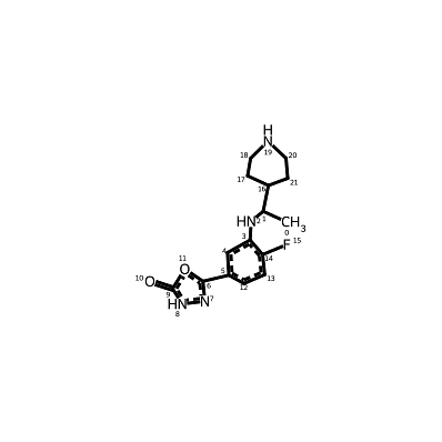 CC(Nc1cc(-c2n[nH]c(=O)o2)ccc1F)C1CCNCC1